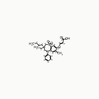 CCCC[C@]1(CC)CN(c2ccccc2)c2cc(C)c(O/C=C/C(=O)O)cc2S(=O)(=O)C1